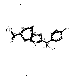 CC(c1ccc(F)cc1)n1cc2ccc(C(=O)O)cc2n1